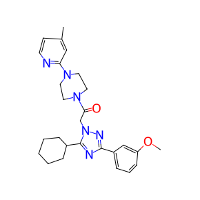 COc1cccc(-c2nc(C3CCCCC3)n(CC(=O)N3CCN(c4cc(C)ccn4)CC3)n2)c1